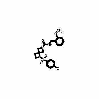 O=C(NCc1ccccc1OC(F)(F)F)N1CC2(CCN2S(=O)(=O)c2ccc(Cl)cc2)C1